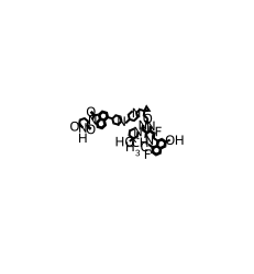 CCc1c(F)ccc2cc(O)cc(-c3ncc4c(N5CCC[C@@](C)(O)C5)nc(OCC5(CN6CCC(CN7CCC(c8ccc9c%10c(cccc8%10)N(C8CCC(=O)NC8=O)C9=O)CC7)CC6)CC5)nc4c3F)c12